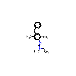 CCN(C)/C=N/c1cc(C)c(Cc2ccccc2)cc1C